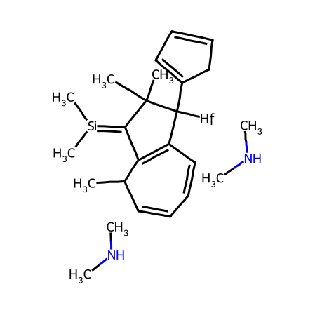 CC1C=CC=CC2=C1C(=[Si](C)C)C(C)(C)[C]2([Hf])C1=CC=CC1.CNC.CNC